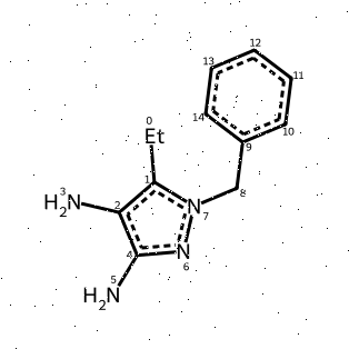 CCc1c(N)c(N)nn1Cc1ccccc1